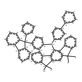 CC1(C)c2ccccc2-c2c1cc1c(c2N(c2ccc(-c3ccccc3)cc2)c2ccc(C3(c4ccccc4)c4ccccc4-c4ccccc43)cc2)-c2ccccc2C1(C)C